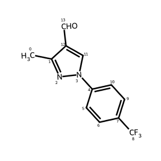 Cc1nn(-c2ccc(C(F)(F)F)cc2)cc1C=O